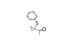 CC(=O)C1(Sc2ccccc2)CC1